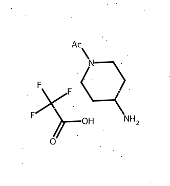 CC(=O)N1CCC(N)CC1.O=C(O)C(F)(F)F